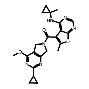 COc1nc(C2CC2)nc2c1CN(C(=O)c1c(C)oc3ncnc(NC4(C)CC4)c13)C2